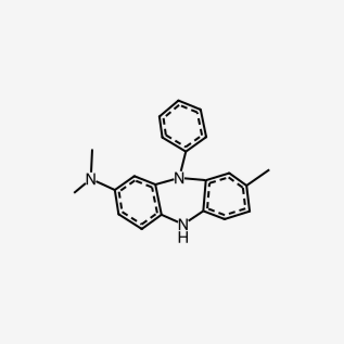 Cc1ccc2c(c1)N(c1ccccc1)c1cc(N(C)C)ccc1N2